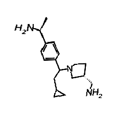 C[C@H](N)c1ccc(C(CC2CC2)N2CC[C@H](CN)C2)cc1